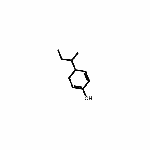 CCC(C)C1C=CC(O)=CC1